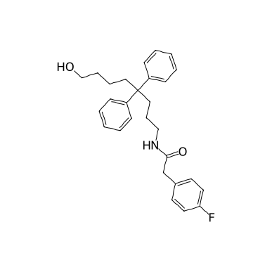 O=C(Cc1ccc(F)cc1)NCCCC(CCCCO)(c1ccccc1)c1ccccc1